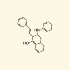 OC1=c2ccccc2=CC(Nc2ccccc2)C1C=Cc1ccccc1